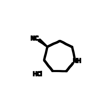 Cl.N#C[C@@H]1CCCNCC1